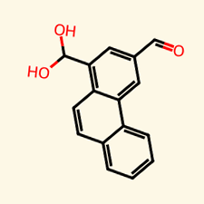 O=Cc1cc(C(O)O)c2ccc3ccccc3c2c1